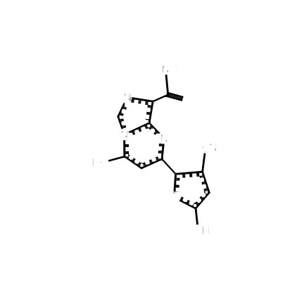 Cc1cc(C#N)c(-c2cc(C)n3cnc(C(N)=O)c3n2)o1